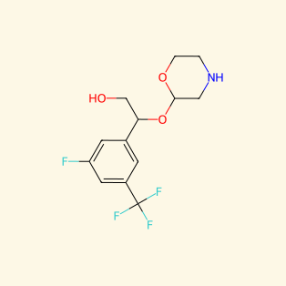 OCC(OC1CNCCO1)c1cc(F)cc(C(F)(F)F)c1